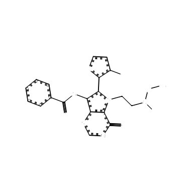 CC(C)(C)ON(C=O)CCn1c(-c2sccc2Cl)c(NC(=O)c2ccccc2)c2nc[nH]c(=O)c21